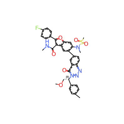 CNC(=O)c1c(-c2ccc(F)cc2)oc2cc(N(C)S(C)(=O)=O)c(-c3ccc4nnn([C@@H](COC)c5ccc(C)cc5)c(=O)c4c3)cc12